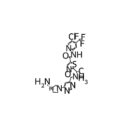 CC(NC(=O)c1cc(N2CC[C@H](CN)C2)ncn1)c1ncc(C(=O)Nc2cc(C(F)(F)F)c(Cl)cn2)s1